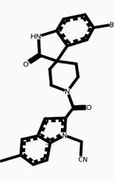 N#CCn1c(C(=O)N2CCC3(CC2)C(=O)Nc2ccc(Br)cc23)cc2cc(Cl)ccc21